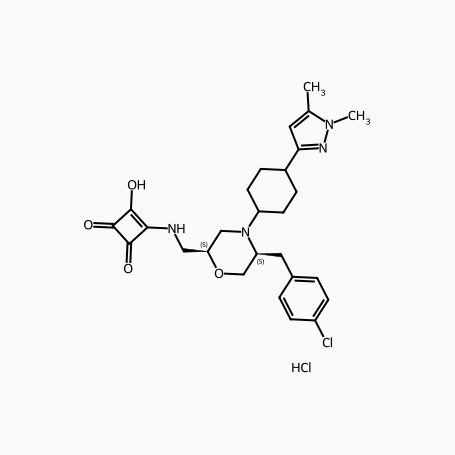 Cc1cc(C2CCC(N3C[C@H](CNc4c(O)c(=O)c4=O)OC[C@@H]3Cc3ccc(Cl)cc3)CC2)nn1C.Cl